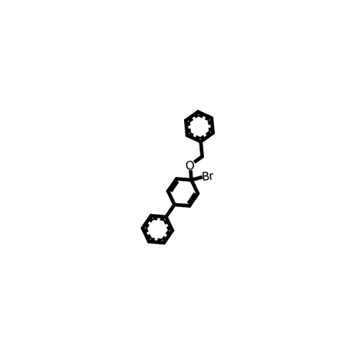 BrC1(OCc2ccccc2)C=CC(c2ccccc2)C=C1